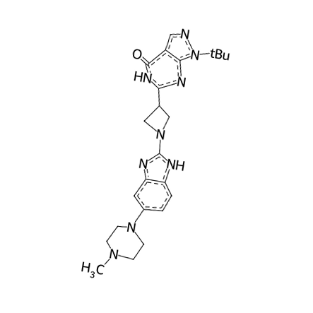 CN1CCN(c2ccc3[nH]c(N4CC(c5nc6c(cnn6C(C)(C)C)c(=O)[nH]5)C4)nc3c2)CC1